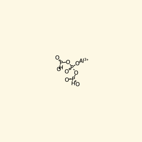 O=[PH]([O-])OP(=O)([O-])O[PH](=O)[O-].[Al+3]